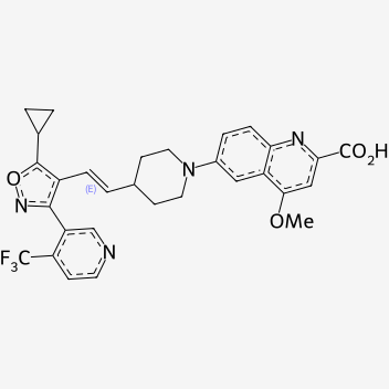 COc1cc(C(=O)O)nc2ccc(N3CCC(/C=C/c4c(-c5cnccc5C(F)(F)F)noc4C4CC4)CC3)cc12